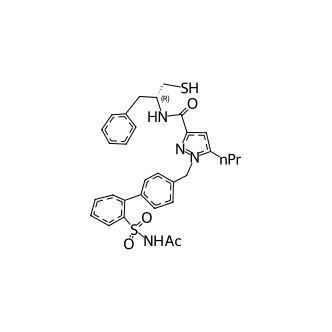 CCCc1cc(C(=O)N[C@@H](CS)Cc2ccccc2)nn1Cc1ccc(-c2ccccc2S(=O)(=O)NC(C)=O)cc1